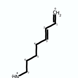 C=CC=CCCCC[NH]